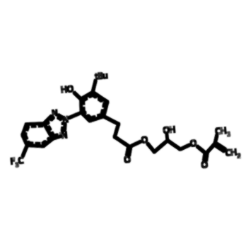 C=C(C)C(=O)OCC(O)COC(=O)CCc1cc(-n2nc3ccc(C(F)(F)F)cc3n2)c(O)c(C(C)(C)C)c1